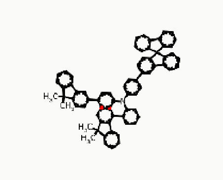 CC1(C)c2ccccc2-c2cc(-c3ccc(N(c4ccc(-c5ccc6c(c5)-c5ccccc5C65c6ccccc6-c6ccccc65)cc4)c4ccccc4-c4cccc5c4-c4ccccc4C5(C)C)cc3)ccc21